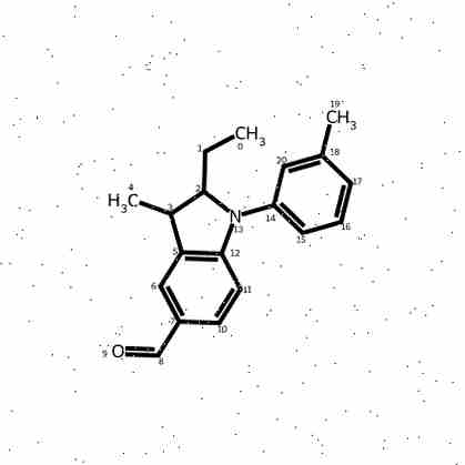 CCC1C(C)c2cc(C=O)ccc2N1c1cccc(C)c1